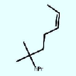 C/C=C\CCC(C)(C)CCC